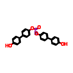 O=[PH](Oc1ccc(-c2ccc(O)cc2)cc1)Oc1ccc(-c2ccc(O)cc2)cc1